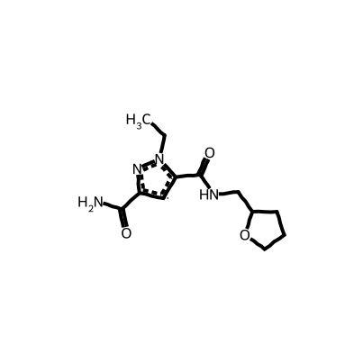 CCn1nc(C(N)=O)[c]c1C(=O)NCC1CCCO1